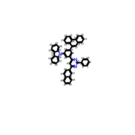 c1ccc(-c2nc(-c3cc(-c4cc5ccccc5c5ccccc45)cc(-n4c5ccccc5c5ccccc54)c3)cc(-c3ccc4ccccc4c3)n2)cc1